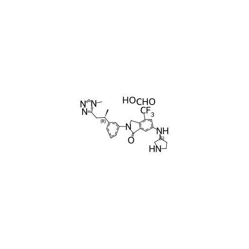 C[C@H](Cc1nncn1C)c1cccc(N2Cc3c(cc(N[C@H]4CCNC4)cc3C(F)(F)F)C2=O)c1.O=CO